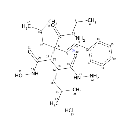 CCC(N)C(=O)C(/C=C/c1ccccc1)(CC(C)C)[C@@H](C(=O)NO)[C@@H](CC(C)C)C(=O)NN.Cl